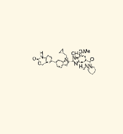 COc1cc(C(=O)N2CC3CCC2C3N)cc2nc(-c3cc4ccc(-c5ccc6c(c5)COC(=O)N6)cc4n3CC3CC3)n(C)c12